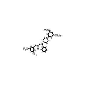 COc1cc(OC)cc(N2CCN(C(CNCc3cc(C(F)(F)F)cc(C(F)(F)F)c3)c3ccccc3)CC2)c1